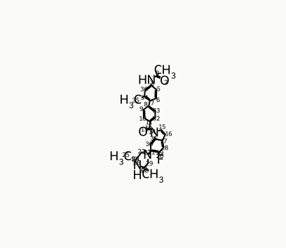 CC(=O)Nc1ccc(-c2ccc(C(=O)n3ccc4cc(F)c(N5C[C@@H](C)N[C@@H](C)C5)cc43)cc2)c(C)c1